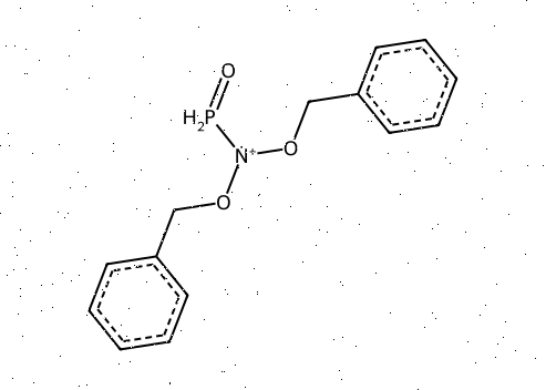 O=[PH2][N+](OCc1ccccc1)OCc1ccccc1